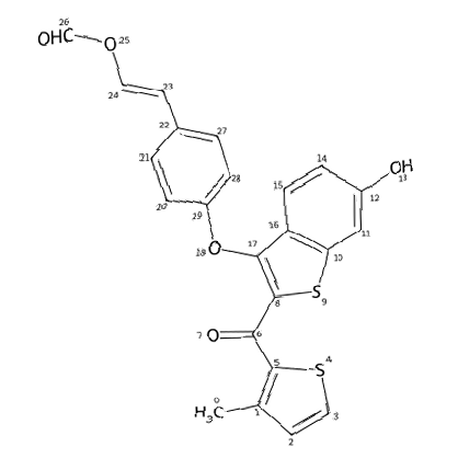 Cc1ccsc1C(=O)c1sc2cc(O)ccc2c1Oc1ccc(/C=C/OC=O)cc1